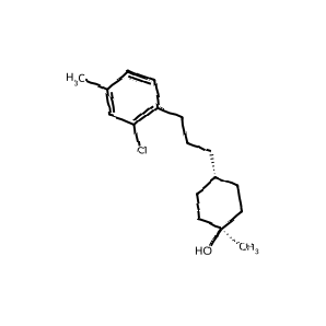 Cc1ccc(CCC[C@H]2CC[C@](C)(O)CC2)c(Cl)c1